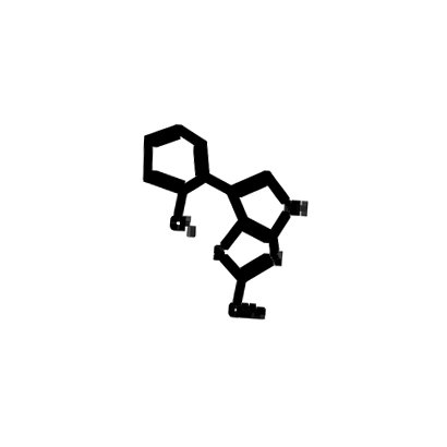 COc1nc2[nH]cc(-c3ccccc3C(F)(F)F)c2s1